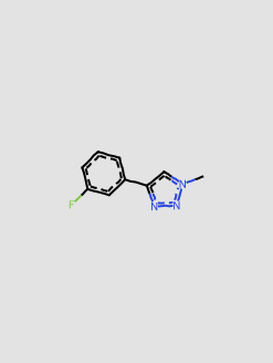 Cn1cc(-c2cccc(F)c2)nn1